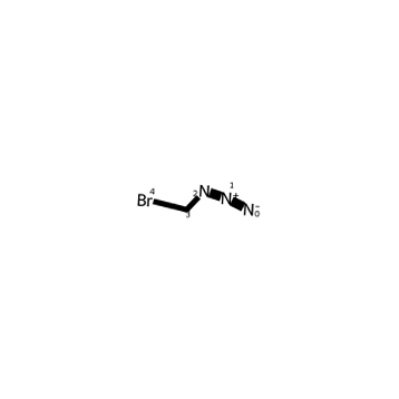 [N-]=[N+]=NCBr